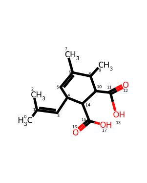 CC(C)=CC1C=C(C)C(C)C(C(=O)O)C1C(=O)O